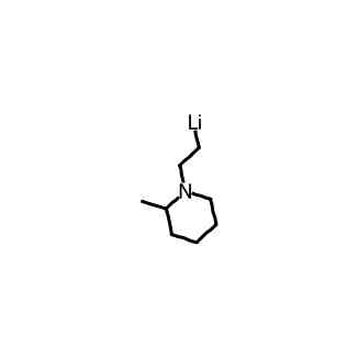 [Li][CH2]CN1CCCCC1C